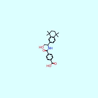 CC1(C)CCC(C)(C)c2cc(C(CO)NC(=O)c3ccc(C(=O)O)cc3)ccc21